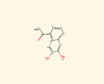 COC(=O)c1cccc2cc(O)c(O)cc12